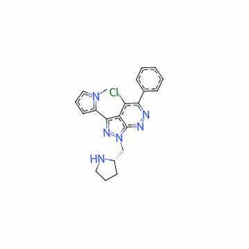 Cn1cccc1-c1nn(C[C@@H]2CCCN2)c2nnc(-c3ccccc3)c(Cl)c12